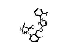 Cc1cccc(-n2nnn(C)c2=O)c1COc1ccn(-c2ccccc2F)n1